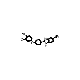 CC(C)c1ccc2[nH]c([C@H]3CC[C@H](Oc4ccc(C#N)c(Cl)c4)CC3)nc2c1